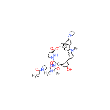 C=CC(=O)N1CC[C@H](C(=O)N(C)[C@H](C(=O)N[C@H]2Cc3cc(O)cc(c3)-c3ccc4c(c3)c(c(-c3ccc(CN5CCCC5)cc3)n4CC)CC(C)(C)COC(=O)[C@@H]3CCCN(N3)C2=O)C(C)C)C1